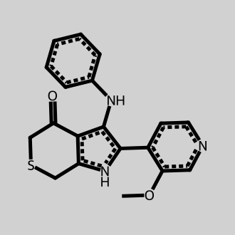 COc1cnccc1-c1[nH]c2c(c1Nc1ccccc1)C(=O)CSC2